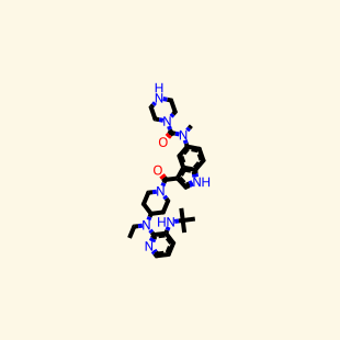 CCN(c1ncccc1NC(C)(C)C)C1CCN(C(=O)c2c[nH]c3ccc(N(C)C(=O)N4CCNCC4)cc23)CC1